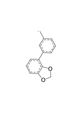 [CH2]c1cccc(-c2cccc3c2OCO3)c1